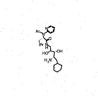 CC(=O)N(c1ccccn1)[C@@H](CC(C)C)C(=O)NC[C@H](O)[C@H](O)[C@@H](N)CC1CCCCC1